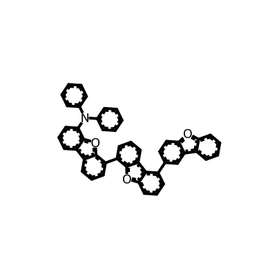 c1ccc(N(c2ccccc2)c2cccc3c2oc2c(-c4cccc5c4oc4cccc(-c6ccc7oc8ccccc8c7c6)c45)cccc23)cc1